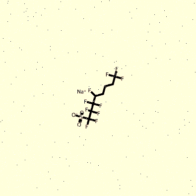 O=S(=O)([O-])C(F)(F)C(F)(F)C(F)(F)C(F)CCCC(F)(F)F.[Na+]